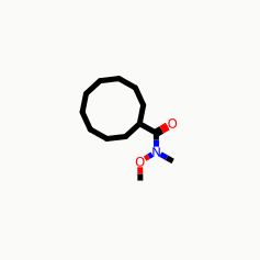 CON(C)C(=O)C1CCCCCCCCC1